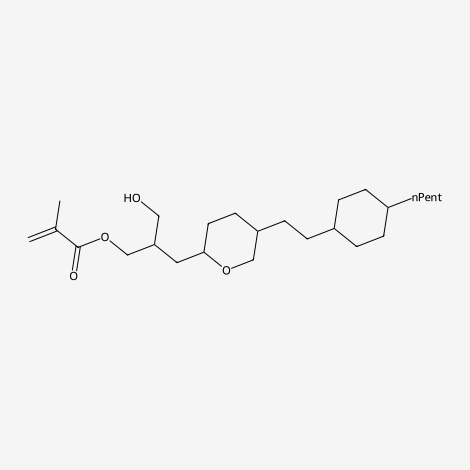 C=C(C)C(=O)OCC(CO)CC1CCC(CCC2CCC(CCCCC)CC2)CO1